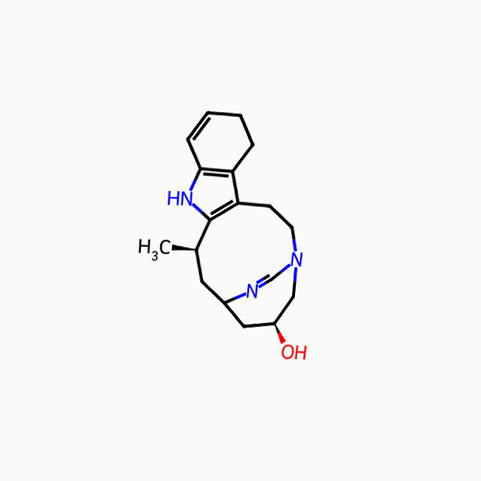 C[C@@H]1CC2C[C@H](O)CN(C=N2)CCc2c1[nH]c1c2CCC=C1